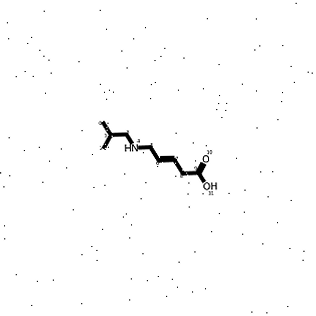 CC(C)CNCC=CCC(=O)O